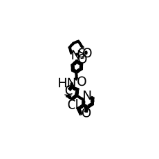 O=C(Nc1ccc(Cl)c(-c2nccc3occc23)c1)c1ccc(N2CCCCCS2(=O)=O)cc1